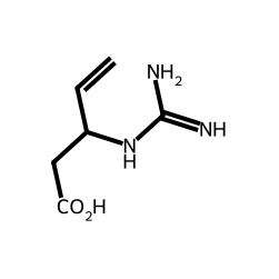 C=CC(CC(=O)O)NC(=N)N